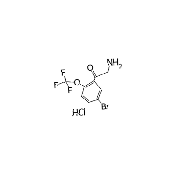 Cl.NCC(=O)c1cc(Br)ccc1OC(F)(F)F